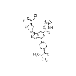 CC(C)C(=O)N1CCN(c2cc(S(=O)(=O)NC3(C)CC3)cc3c2cnn3[C@H]2C[C@H](CF)N(C(=O)CCl)C2)CC1